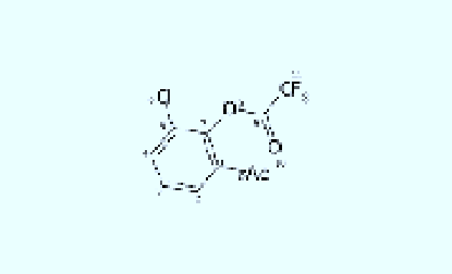 CC(=O)c1cccc(Cl)c1OC(=O)C(F)(F)F